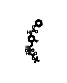 CC(C)(C)OC(=O)NS(=O)(=O)NCc1ccc(NC(=O)Oc2ccccc2)cc1F